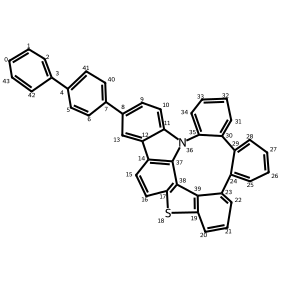 c1ccc(-c2ccc(-c3ccc4c(c3)c3ccc5sc6cccc7c8ccccc8c8ccccc8n4c3c5c67)cc2)cc1